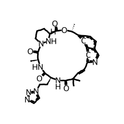 C[C@@H]1NC(=O)[C@H](CCn2ccnn2)NC(=O)C(C)(C)/C=C/c2cc3cc(ccc3cn2)[C@@H](C)OC(=O)[C@@H]2CCCN(N2)C1=O